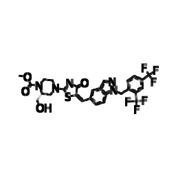 COC(=O)N1CCN(C2=NC(=O)C(=Cc3ccc4c(cnn4Cc4ccc(C(F)(F)F)cc4C(F)(F)F)c3)S2)C[C@@H]1CO